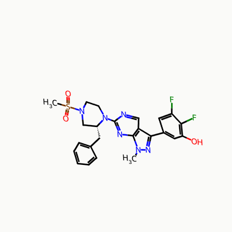 Cn1nc(-c2cc(O)c(F)c(F)c2)c2cnc(N3CCN(S(C)(=O)=O)C[C@H]3Cc3ccccc3)nc21